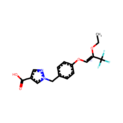 CCO/C(=C\Oc1ccc(Cn2cc(C(=O)O)cn2)cc1)C(F)(F)F